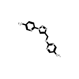 Cc1cnc(OCc2cn(-c3ccc(C(F)(F)F)cn3)nn2)nc1